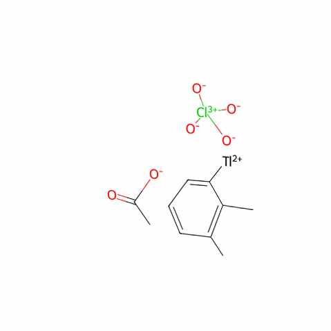 CC(=O)[O-].Cc1ccc[c]([Tl+2])c1C.[O-][Cl+3]([O-])([O-])[O-]